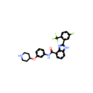 O=C(Nc1cccc(OC2CCNCC2)c1)c1cccc2[nH]c(-c3cc(F)ccc3C(F)(F)F)nc12